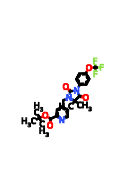 CC(C)(C)OC(=O)c1cc(CN2C(=O)N(c3ccc(OC(F)(F)F)cc3)C(=O)C2(C)C)ccn1